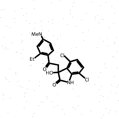 CCc1cc(NC)ccc1C(=O)CC1(O)C(=O)Nc2c(Cl)ccc(Cl)c21